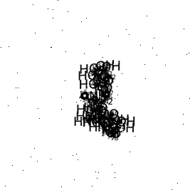 CC(c1ccccc1)C(N)C(=O)NC(Cc1ccc(OC2OC(CO)C(OC3OC(CO)C(O)C(O)C3O)C3OC(C)(C)OC23)cc1)C(=O)NC(C(=O)NC(C(=O)NC([C]=O)CO)C(O)C1CN(C2OC(CO)C(O)C3OC(C)(C)OC32)C(=N)N1)C(O)C1CNC(=N)N1